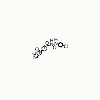 Cc1ncc2n1C(=O)N(C1CCN(C(=O)CNC(=O)Nc3ccc(Cl)cc3)CC1)C2